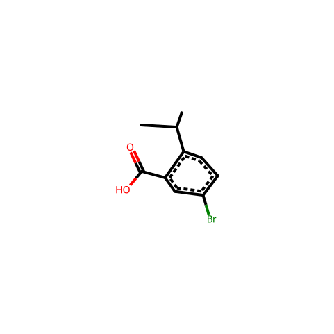 CC(C)c1ccc(Br)cc1C(=O)O